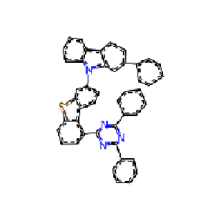 c1ccc(-c2ccc3c4ccccc4n(-c4ccc5c(c4)sc4cccc(-c6nc(-c7ccccc7)nc(-c7ccccc7)n6)c45)c3c2)cc1